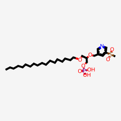 CCCCCCCCCCCCCCCCCCOCC(COP(=O)(O)O)OCc1cncc(S(C)(=O)=O)c1